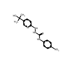 CC(C)(O)c1ccc(NNC(=S)Nc2ccc([N+](=O)[O-])cc2)nc1